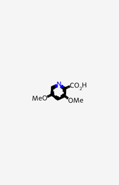 COc1cnc(C(=O)O)c(OC)c1